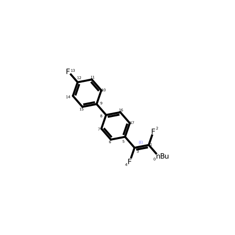 CCCC/C(F)=C(\F)c1ccc(-c2ccc(F)cc2)cc1